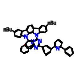 CCCCc1ccc2c(c1)c1ccc3c4cc(CCCC)ccc4n(-c4nc(-c5ccccc5)nc(-c5cccc(-c6cccc(-c7ccccc7)n6)c5)n4)c3c1n2-c1ccccc1